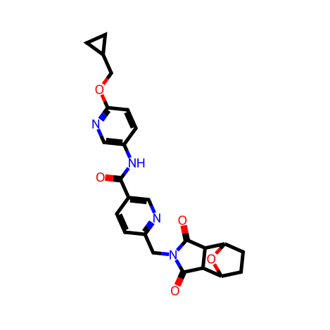 O=C(Nc1ccc(OCC2CC2)nc1)c1ccc(CN2C(=O)C3C4CCC(O4)C3C2=O)nc1